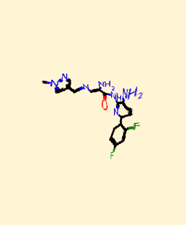 Cn1cc(/C=N/C=C(\N)C(=O)NC2=NC(C3CC=C(F)C=C3F)CC=C2N)cn1